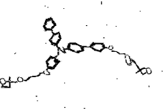 CC1(COCCCCOc2ccc(-c3ccc(N(c4ccc(OCCCCOCC5(C)CCO5)cc4)c4ccc(-c5ccccc5)cc4)cc3)cc2)COC1